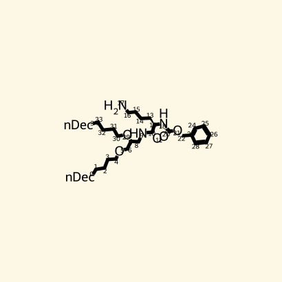 CCCCCCCCCCCCCCOCC(CNC(=O)[C@@H](CCCCN)NC(=O)OCc1ccccc1)OCCCCCCCCCCCCCC